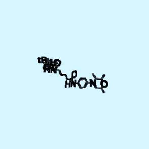 CC1[C@@H](C)O[C@@H](C)CN1c1ccc(NC(=O)CCCCNS(=O)(=O)C(C)(C)C)cc1